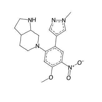 COc1cc(N2CCC3CCNC3C2)c(-c2cnn(C)c2)cc1[N+](=O)[O-]